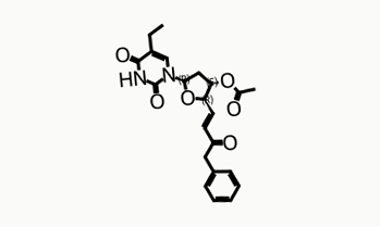 CCc1cn([C@H]2C[C@H](OC(C)=O)[C@@H](C=CC(=O)Cc3ccccc3)O2)c(=O)[nH]c1=O